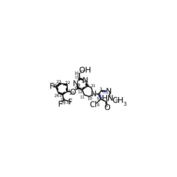 CN/N=C\C(=C(\Cl)C=O)N1CCc2c(nc(CO)nc2Oc2ccc(F)cc2C(F)F)C1